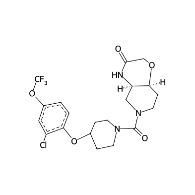 O=C1CO[C@H]2CCN(C(=O)N3CCC(Oc4ccc(OC(F)(F)F)cc4Cl)CC3)C[C@H]2N1